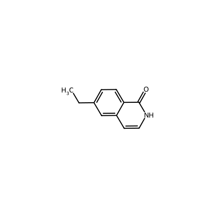 CCc1ccc2c(=O)[nH]ccc2c1